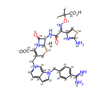 CC(C)(ON=C(C(=O)N[C@@H]1C(=O)N2C(C(=O)[O-])=C(C[n+]3ccc4ccn(Cc5ccc(C(=N)N)cc5)c4c3)CS[C@H]12)c1csc(N)n1)C(=O)O